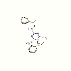 CC[C@@H](c1ccccc1)N1C(N)=NC(NCC(C)c2ccccc2)=NC1N